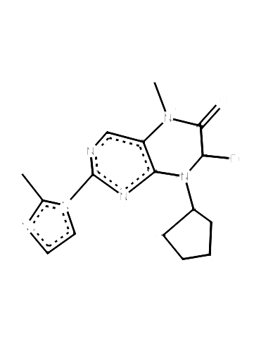 CCC1C(=O)N(C)c2cnc(-n3ccnc3C)nc2N1C1CCCC1